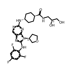 O=C(NC[C@H](O)CO)[C@H]1CC[C@H](Nc2ncc3nc(Nc4c(F)cc(F)cc4F)n([C@H]4CCOC4)c3n2)CC1